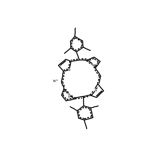 Cc1cc(C)c(-c2c3nc(cc4ccc([nH]4)c(-c4c(C)cc(C)cc4C)c4nc(cc5ccc2[nH]5)C=C4)C=C3)c(C)c1.[Ni+2]